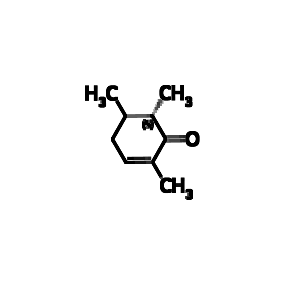 CC1=CCC(C)[C@H](C)C1=O